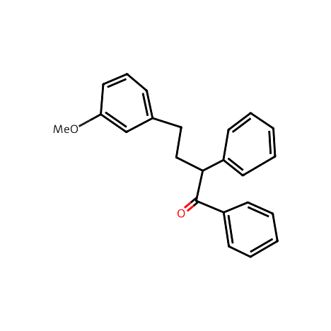 COc1cccc(CCC(C(=O)c2ccccc2)c2ccccc2)c1